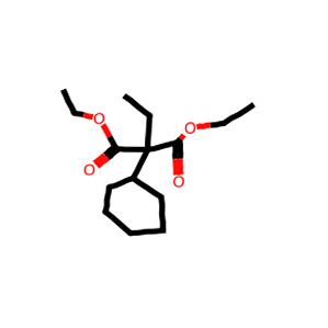 CCOC(=O)C(CC)(C(=O)OCC)C1CCCCC1